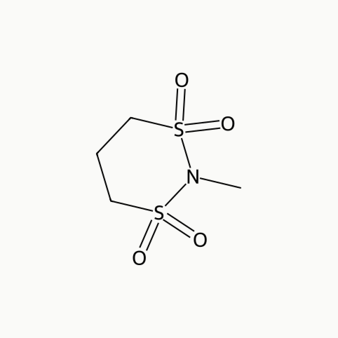 CN1S(=O)(=O)CCCS1(=O)=O